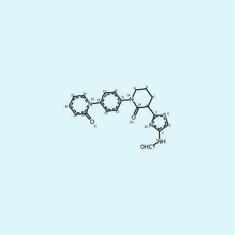 O=CNc1csc(C2CCCN(c3ccc(-n4ccccc4=O)cc3)C2=O)n1